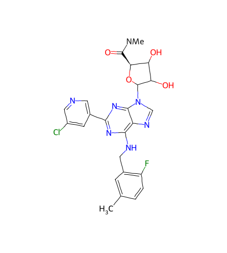 CNC(=O)[C@@H]1OC(n2cnc3c(NCc4cc(C)ccc4F)nc(-c4cncc(Cl)c4)nc32)C(O)C1O